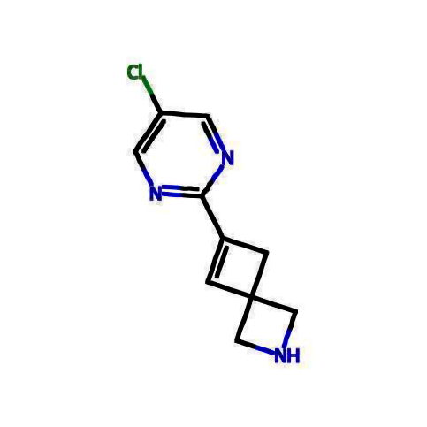 Clc1cnc(C2=CC3(CNC3)C2)nc1